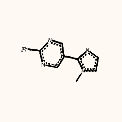 CC(C)c1ncc(-c2nccn2C)cn1